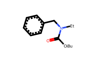 [CH2]CN(Cc1ccccc1)C(=O)OCC(C)C